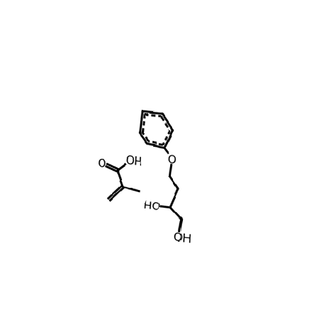 C=C(C)C(=O)O.OCC(O)CCOc1ccccc1